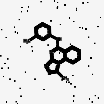 Cc1cccc(Nc2nc3nnc(C)n3c3ccccc23)c1